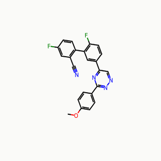 COc1ccc(-c2nncc(-c3ccc(F)c(-c4ccc(F)cc4C#N)c3)n2)cc1